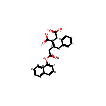 O=C(O)CC(C(=O)O)=C(CC(=O)Oc1cccc2ccccc12)Cc1ccccc1